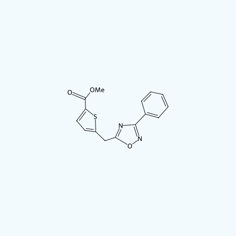 COC(=O)c1ccc(Cc2nc(-c3ccccc3)no2)s1